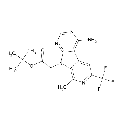 Cc1nc(C(F)(F)F)cc2c3c(N)ncnc3n(CC(=O)OC(C)(C)C)c12